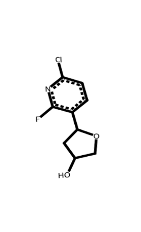 OC1COC(c2ccc(Cl)nc2F)C1